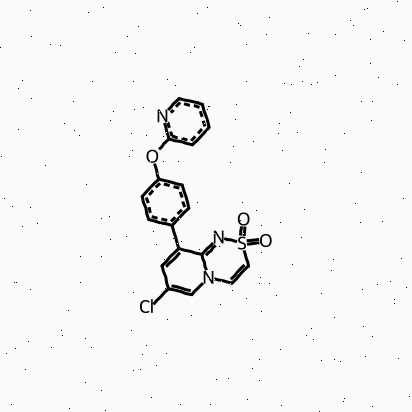 O=S1(=O)C=CN2C=C(Cl)C=C(c3ccc(Oc4ccccn4)cc3)C2=N1